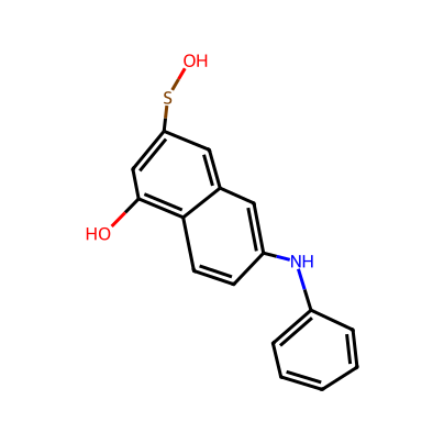 OSc1cc(O)c2ccc(Nc3ccccc3)cc2c1